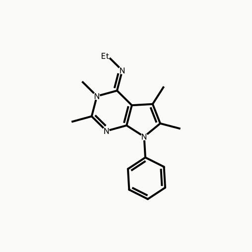 CCN=c1c2c(C)c(C)n(-c3ccccc3)c2nc(C)n1C